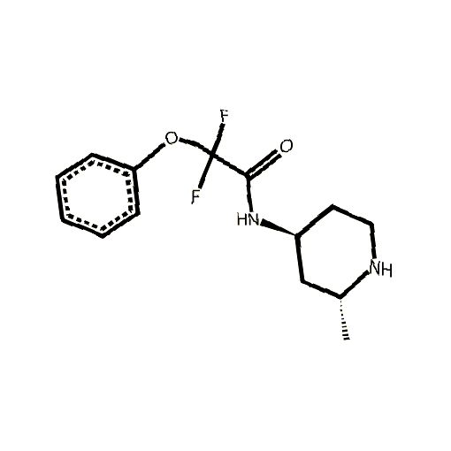 C[C@@H]1C[C@@H](NC(=O)C(F)(F)Oc2ccccc2)CCN1